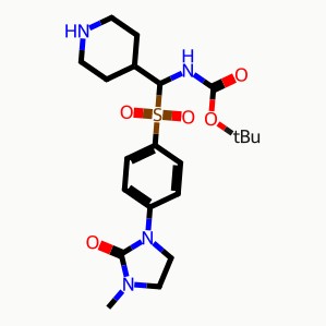 CN1CCN(c2ccc(S(=O)(=O)C(NC(=O)OC(C)(C)C)C3CCNCC3)cc2)C1=O